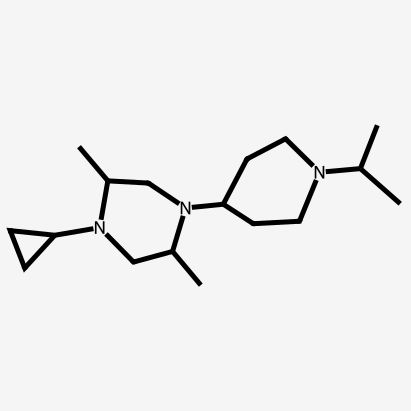 CC(C)N1CCC(N2CC(C)N(C3CC3)CC2C)CC1